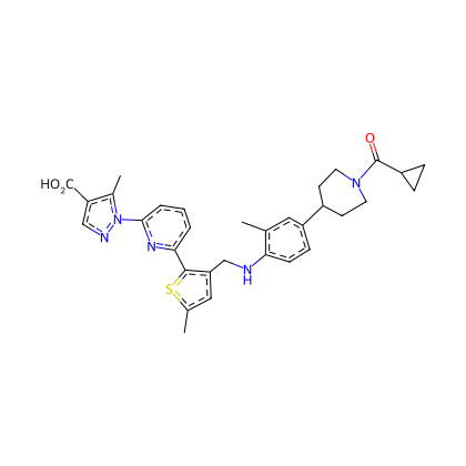 Cc1cc(CNc2ccc(C3CCN(C(=O)C4CC4)CC3)cc2C)c(-c2cccc(-n3ncc(C(=O)O)c3C)n2)s1